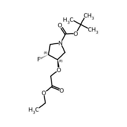 CCOC(=O)CO[C@@H]1CN(C(=O)OC(C)(C)C)C[C@H]1F